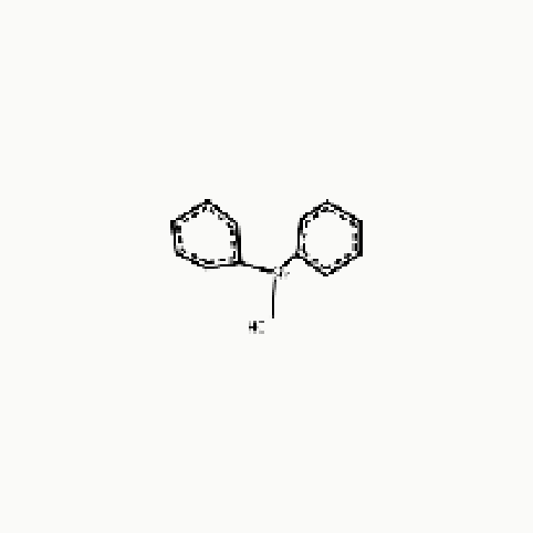 Cl.[CH3][Sn]([c]1ccccc1)[c]1ccccc1